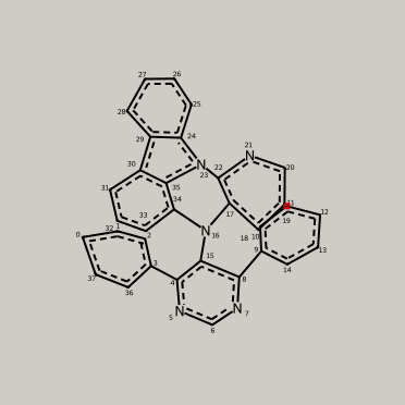 c1ccc(-c2ncnc(-c3ccccc3)c2N2c3cccnc3-n3c4ccccc4c4cccc2c43)cc1